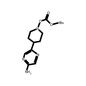 CC(C)(C)OC(=O)ON1CCC(c2cnc(N)cn2)CC1